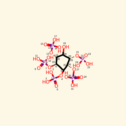 O=P(O)(O)OC1[C@@H](OP(=O)(O)O)[C@H](OP(=O)(O)O)C(O)[C@H](OP(=O)(O)O)[C@@H]1OP(=O)(O)O